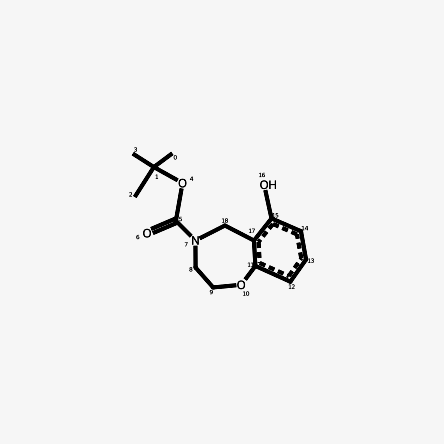 CC(C)(C)OC(=O)N1CCOc2cccc(O)c2C1